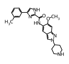 COc1cc2nn(C3CCNCC3)cc2cc1NC(=O)c1nc(-c2cccc(C)c2)c[nH]1